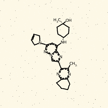 Cc1nc2c(nc1-c1cn3nc(N4CC=CC4)cc(N[C@H]4CC[C@](C)(O)CC4)c3n1)CCCC2